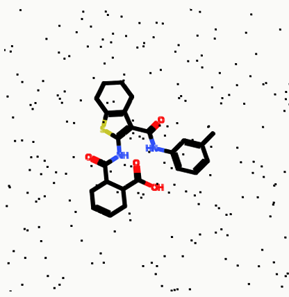 Cc1cccc(NC(=O)c2c(NC(=O)C3CC=CCC3C(=O)O)sc3c2CCCC3)c1